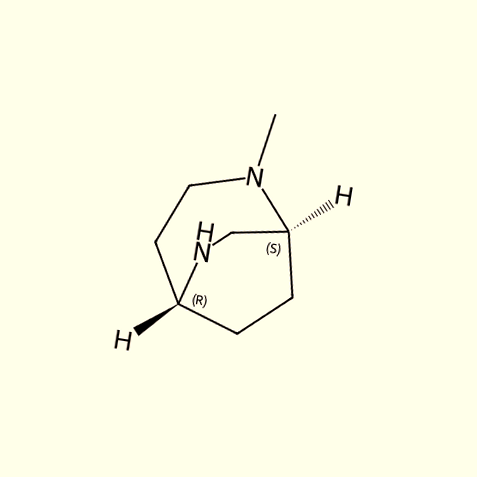 CN1CC[C@H]2CC[C@H]1CN2